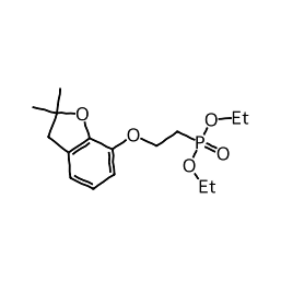 CCOP(=O)(CCOc1cccc2c1OC(C)(C)C2)OCC